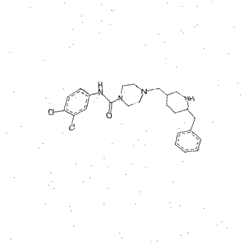 O=C(Nc1ccc(Cl)c(Cl)c1)N1CCN(CC2CCC(Cc3ccccc3)NC2)CC1